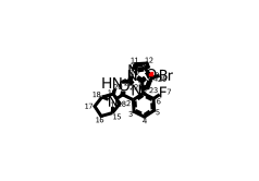 O=C(c1cccc(F)c1-c1ncco1)N1C2CCC1C(Nc1ncc(Br)cn1)C2